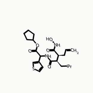 C=CC[C@H](C(=O)NO)[C@@H](CC(C)C)C(=O)NC(C(=O)OC1CCCC1)c1ccsc1